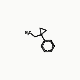 CC[Si]1(c2ccccc2)CC1